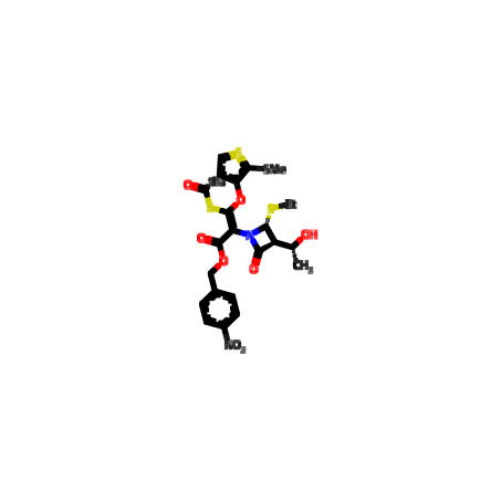 CCS[C@@H]1[C@@H]([C@@H](C)O)C(=O)N1C(C(=O)OCc1ccc([N+](=O)[O-])cc1)=C(Oc1ccsc1SC)SC(=O)C(C)(C)C